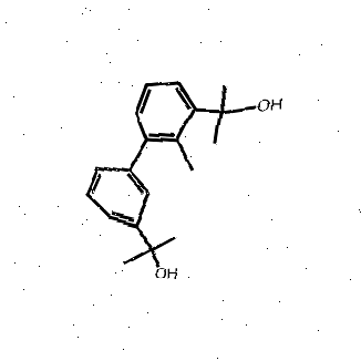 Cc1c(-c2cccc(C(C)(C)O)c2)cccc1C(C)(C)O